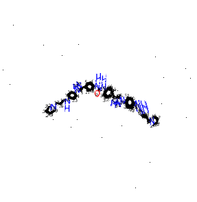 O=C(Nc1ccc(-c2cn(-c3ccc(NCCCN4CCCC4)cc3)nn2)cc1)Nc1ccc(-c2cn(-c3ccc(NCCCN4CCCC4)cc3)nn2)cc1